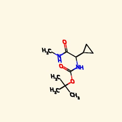 CNC(=O)C(NC(=O)OC(C)(C)C)C1CC1